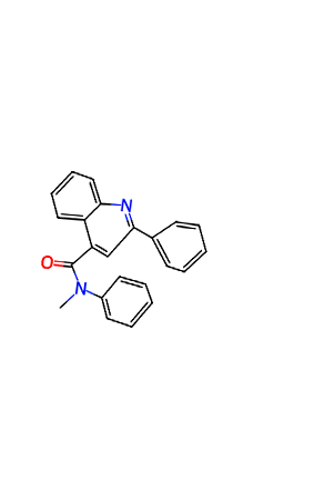 CN(C(=O)c1cc(-c2ccccc2)nc2ccccc12)c1ccccc1